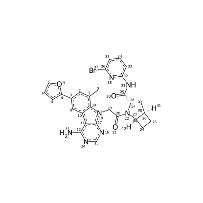 Cc1cc(-c2ccco2)cc2c3c(N)ncnc3n(CC(=O)N3[C@@H]4CC[C@@H]4C[C@H]3C(=O)Nc3cccc(Br)n3)c12